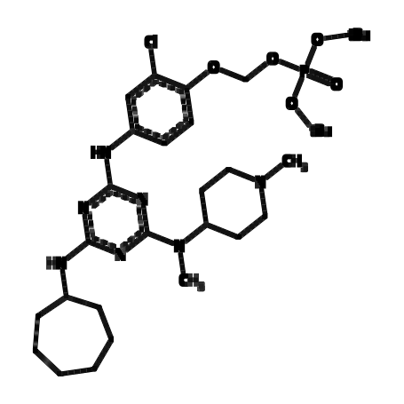 CN1CCC(N(C)c2nc(Nc3ccc(OCOP(=O)(OC(C)(C)C)OC(C)(C)C)c(Cl)c3)nc(NC3CCCCCC3)n2)CC1